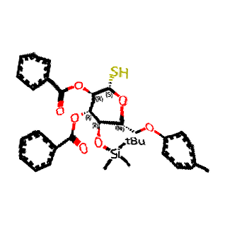 Cc1ccc(OC[C@H]2O[C@@H](S)[C@H](OC(=O)c3ccccc3)[C@@H](OC(=O)c3ccccc3)[C@@H]2O[Si](C)(C)C(C)(C)C)cc1